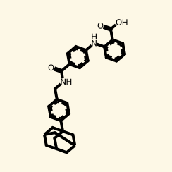 O=C(NCc1ccc(C23CC4CC(CC(C4)C2)C3)cc1)c1ccc(Nc2ccccc2C(=O)O)cc1